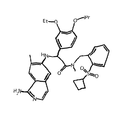 CCOc1cc(C(Nc2cc3ccnc(N)c3cc2C)C(=O)N(C)Cc2ccccc2S(=O)(=O)C2CCC2)ccc1OC(C)C